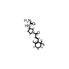 CC1=C(/C=C/C(=O)N2CCC(NC(N)=O)C2)C(C)(C)CCC1